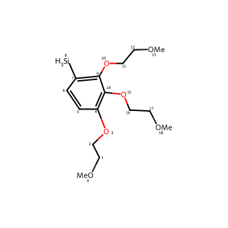 COCCOc1ccc([SiH3])c(OCCOC)c1OCCOC